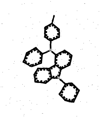 Cc1ccc(N(c2ccccc2)c2cccc3c2c2ccccc2n3-c2ccccc2)cc1